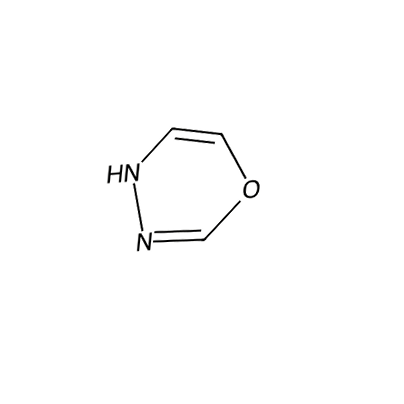 C1=COC=NN1